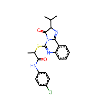 CC(SC1=Nc2ccccc2C2=NC(C(C)C)C(=O)N12)C(=O)Nc1ccc(Cl)cc1